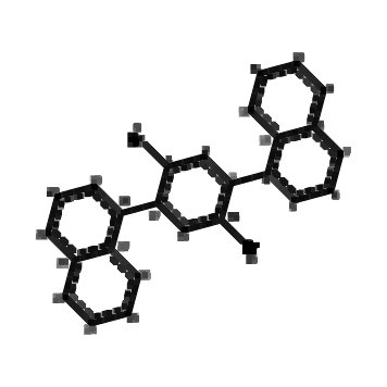 Brc1cc(-c2cccc3ccccc23)c(Br)cc1-c1cccc2ccccc12